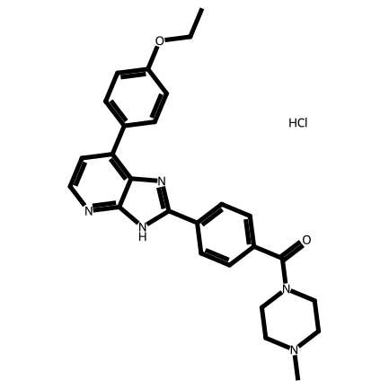 CCOc1ccc(-c2ccnc3[nH]c(-c4ccc(C(=O)N5CCN(C)CC5)cc4)nc23)cc1.Cl